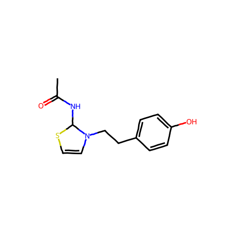 CC(=O)NC1SC=CN1CCc1ccc(O)cc1